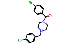 O=C(c1ccc(Br)cc1)N1CCN(Cc2ccc(Cl)cc2)CC1